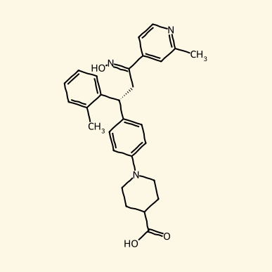 Cc1cc(/C(C[C@H](c2ccc(N3CCC(C(=O)O)CC3)cc2)c2ccccc2C)=N/O)ccn1